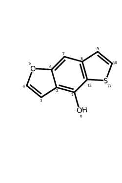 Oc1c2ccoc2cc2ccsc12